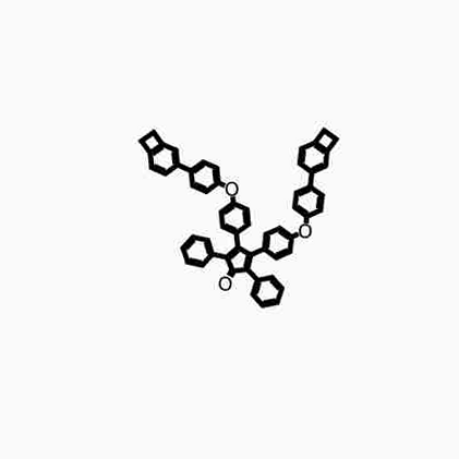 O=C1C(c2ccccc2)=C(c2ccc(Oc3ccc(-c4ccc5c(c4)CC5)cc3)cc2)C(c2ccc(Oc3ccc(-c4ccc5c(c4)CC5)cc3)cc2)=C1c1ccccc1